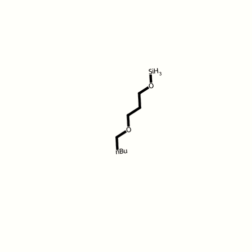 CCCCCOCCCO[SiH3]